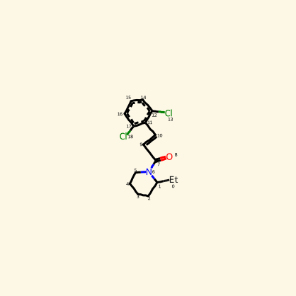 CCC1CCCCN1C(=O)C=Cc1c(Cl)cccc1Cl